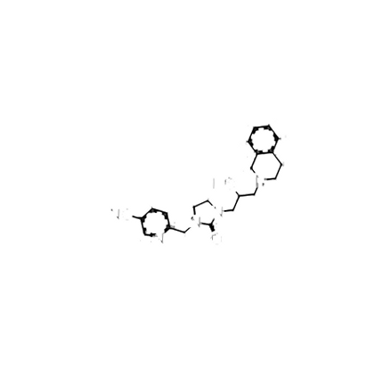 N#Cc1ccc(CN2CCN(CC(O)CN3CCc4ccccc4C3)C2=O)nc1